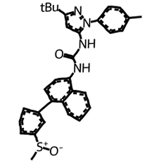 Cc1ccc(-n2nc(C(C)(C)C)cc2NC(=O)Nc2ccc(-c3cccc([S+](C)[O-])c3)c3ccccc23)cc1